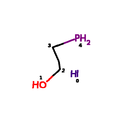 I.OCCP